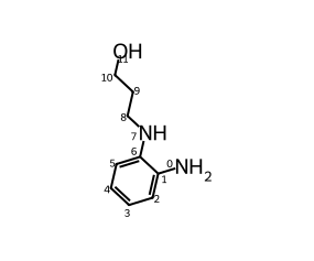 Nc1ccccc1NCCCO